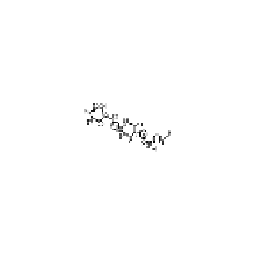 CCOC(C)COc1ccc(OCc2ccccc2)cc1